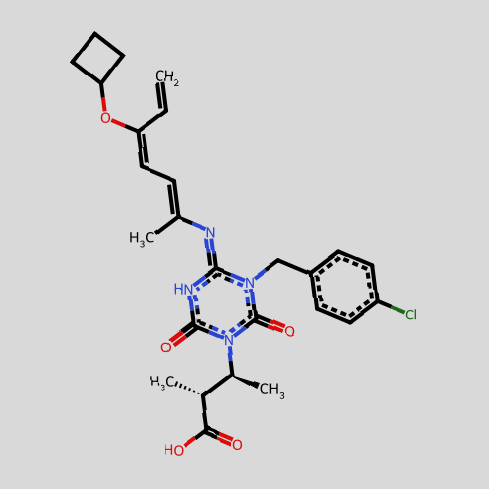 C=C\C(=C/C=C(C)/N=c1\[nH]c(=O)n([C@@H](C)[C@@H](C)C(=O)O)c(=O)n1Cc1ccc(Cl)cc1)OC1CCC1